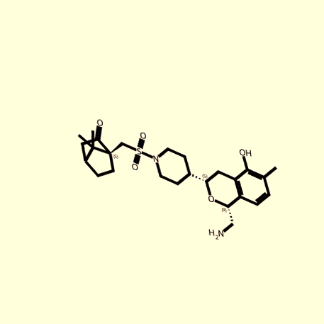 Cc1ccc2c(c1O)C[C@@H](C1CCN(S(=O)(=O)C[C@]34CCC(CC3=O)C4(C)C)CC1)O[C@H]2CN